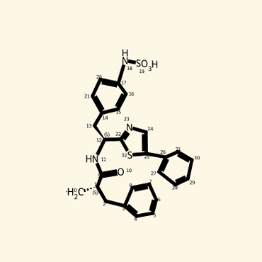 [CH2][C@@H](Cc1ccccc1)C(=O)N[C@@H](Cc1ccc(NS(=O)(=O)O)cc1)c1ncc(-c2ccccc2)s1